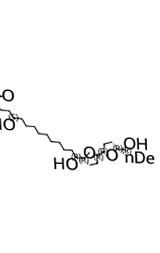 CCCCCCCCCC[C@@H](O)[C@H]1CC[C@H]([C@H]2CC[C@H]([C@H](O)CCCCCCCCC[C@H](O)CCC3=C[C@H](C)OC3=O)O2)O1